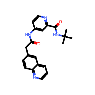 CC(C)(C)NC(=O)c1cc(NC(=O)Cc2ccc3ncccc3c2)ccn1